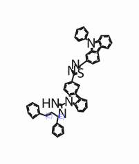 N=C(/N=C(\C=C\c1ccccc1)c1ccccc1)n1c2ccccc2c2cc(-c3nnc(-c4ccc5c6ccccc6n(-c6ccccc6)c5c4)s3)ccc21